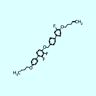 C=CCCCOc1ccc(-c2ccc(COc3ccc(-c4ccc(OCCCC)cc4)c(F)c3F)cc2)cc1F